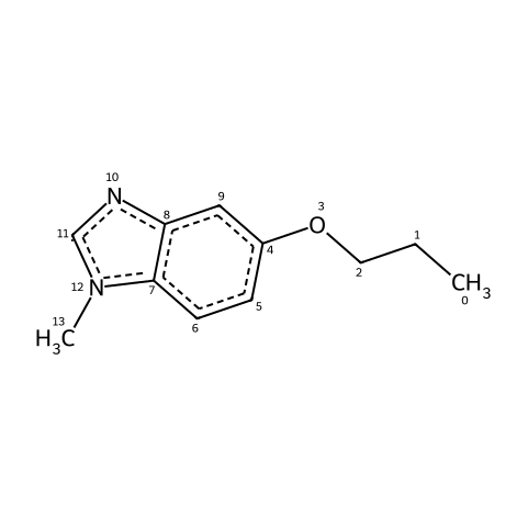 CCCOc1ccc2c(c1)n[c]n2C